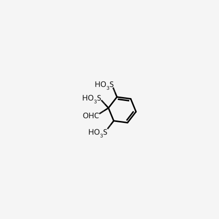 O=CC1(S(=O)(=O)O)C(S(=O)(=O)O)=CC=CC1S(=O)(=O)O